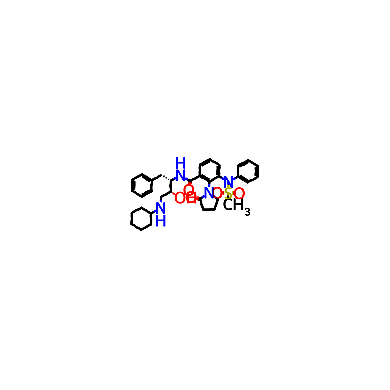 CS(=O)(=O)N(c1ccccc1)c1cccc(C(=O)N[C@@H](Cc2ccccc2)[C@H](O)CNC2CCCCC2)c1N1CCCC1=O